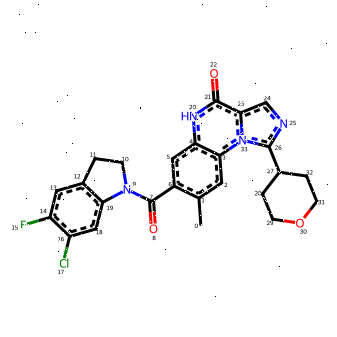 Cc1cc2c(cc1C(=O)N1CCc3cc(F)c(Cl)cc31)[nH]c(=O)c1cnc(C3CCOCC3)n12